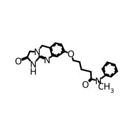 CN(C(=O)CCCCOc1ccc2c(c1)N=C1NC(=O)CN1C2)c1ccccc1